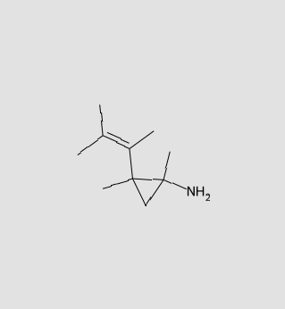 CC(C)=C(C)C1(C)CC1(C)N